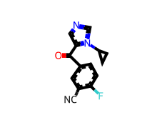 N#Cc1cc(C(=O)c2cncn2C2CC2)ccc1F